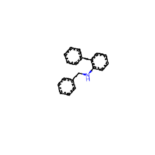 c1ccc(CNc2ccccc2-c2ccccc2)cc1